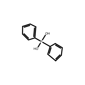 O[P](O)(c1ccccc1)c1ccccc1